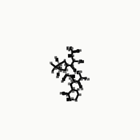 CCC(C)C(NC(=O)C(F)(F)F)C(=O)N1C[C@H]2[C@@H]([C@H]1C(=O)NN(C[C@H]1CCCNC1=O)C(=O)C(F)Cl)C2(C)C